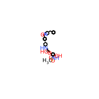 CS(=O)(=O)Nc1cc(OC[C@@H](O)CN[C@H]2CC[C@H](c3ccc(C(=O)N4CCC(Cc5ccccc5)CC4)cc3)CC2)ccc1O